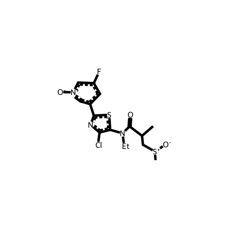 CCN(C(=O)C(C)C[S+](C)[O-])c1sc(-c2cc(F)c[n+]([O-])c2)nc1Cl